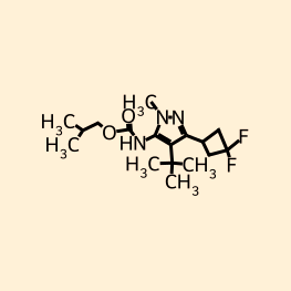 CC(C)COC(=O)Nc1c(C(C)(C)C)c(C2CC(F)(F)C2)nn1C